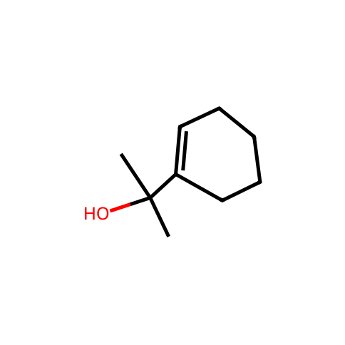 CC(C)(O)C1=CCCCC1